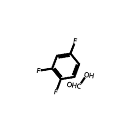 Fc1ccc(F)c(F)c1.O=CO